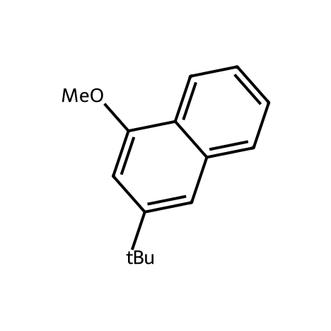 COc1cc(C(C)(C)C)cc2ccccc12